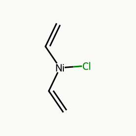 C=[CH][Ni]([Cl])[CH]=C